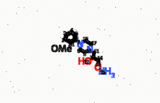 COc1ccccc1N1CCN(CC(O)CON)CC1